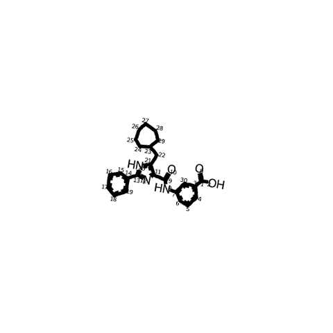 O=C(O)c1cccc(NC(=O)c2nc(-c3ccccc3)[nH]c2CC2CCCCCC2)c1